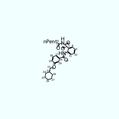 CCCCCC(=O)NS(=O)(=O)c1ccccc1NC(=O)c1cccc(OCC2CCCCC2)c1